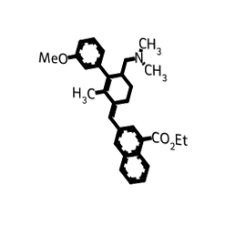 CCOC(=O)c1cc(C=C2CCC(CN(C)C)C(c3cccc(OC)c3)=C2C)cc2ccccc12